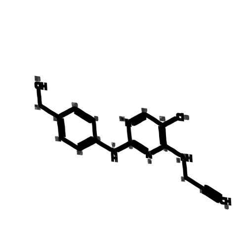 C#CCNc1nc(Nc2ccc(CO)cc2)ncc1Cl